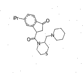 CC(C)c1ccc2c(c1)C(C(=O)N1CCSCC1CN1CCCCC1)CC2=O